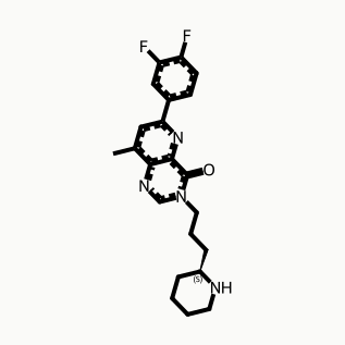 Cc1cc(-c2ccc(F)c(F)c2)nc2c(=O)n(CCC[C@@H]3CCCCN3)cnc12